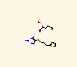 Nc1nc(N)c(CCCCc2cccs2)c(O)n1.O=C(O)CCC(NC(=O)O)C(=O)O